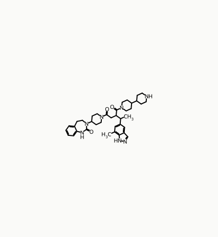 Cc1cc(C(C)C(CC(=O)N2CCC(N3CCc4ccccc4NC3=O)CC2)C(=O)N2CCC(C3CCNCC3)CC2)cc2cn[nH]c12